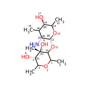 CC1OC(C)[C@H](O)[C@](C)(O)C1O[C@H]1OC(C)[C@H](O)C(C)[C@H]1N